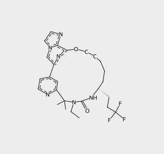 CCN1C(=O)N[C@@H](CCC(F)(F)F)CCCCCOc2nc(cn3ccnc23)-c2ccnc(c2)C1(C)C